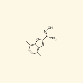 Cc1ccc(C)c2oc(C(N)=NO)cc12